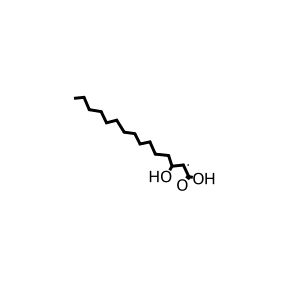 CCCCCCCCCCCCC(O)[CH]C(=O)O